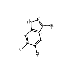 CCc1n[nH]c2cc(Cl)c(Cl)cc12